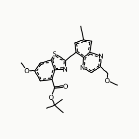 COCc1cnc2c(-c3nc4c(C(=O)OC(C)(C)C)cc(OC)cc4s3)cc(C)cc2n1